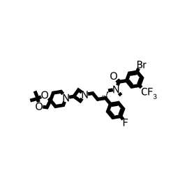 CN(C[C@@H](CCN1CC(N2CCC3(CC2)COC(C)(C)O3)C1)c1ccc(F)cc1)C(=O)c1cc(Br)cc(C(F)(F)F)c1